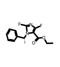 CCOC(=O)c1c(F)nc(F)n1[C@H](C)c1ccccc1